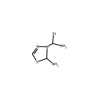 CCC(N)N1N=CSC1N